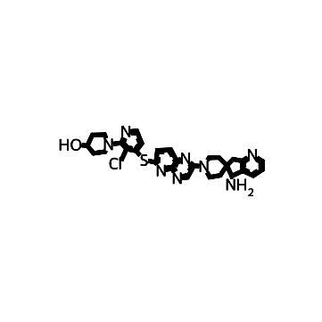 N[C@@H]1c2cccnc2CC12CCN(c1cnc3nc(Sc4ccnc(N5CCC(O)CC5)c4Cl)ccc3n1)CC2